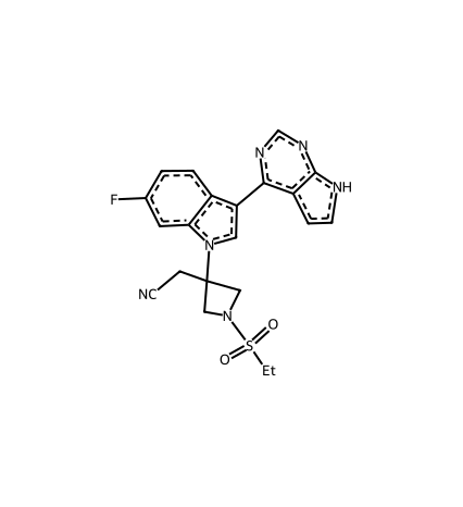 CCS(=O)(=O)N1CC(CC#N)(n2cc(-c3ncnc4[nH]ccc34)c3ccc(F)cc32)C1